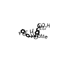 CC[C@@H](Cc1ccc(OC)c(C(=O)NCc2ccc(Oc3c(F)cccc3F)cc2)c1)C(=O)O